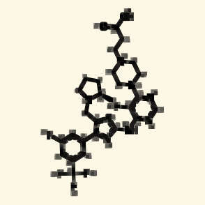 C[C@@H]1CCCN1Cc1sc(Nc2ncnc(N3CCN(CCC(=O)O)CC3)c2F)nc1-c1cc(F)cc(C(F)(F)F)c1